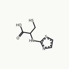 O=C(O)C(CS)Nc1nccs1